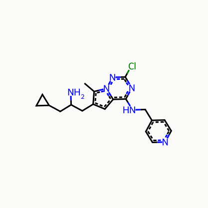 Cc1c(CC(N)CC2CC2)cc2c(NCc3ccncc3)nc(Cl)nn12